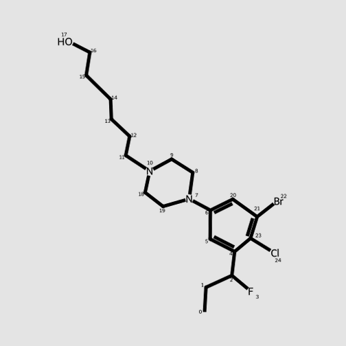 CCC(F)c1cc(N2CCN(CCCCCCO)CC2)cc(Br)c1Cl